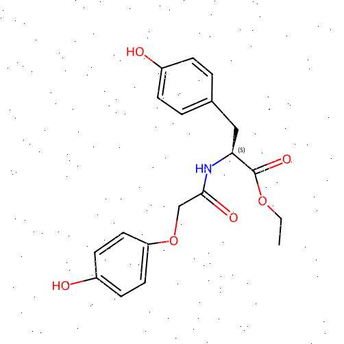 CCOC(=O)[C@H](Cc1ccc(O)cc1)NC(=O)COc1ccc(O)cc1